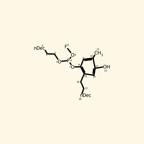 CCCCCCCCCCCCOP(OF)Oc1cc(C)c(O)cc1CCCCCCCCCCCC